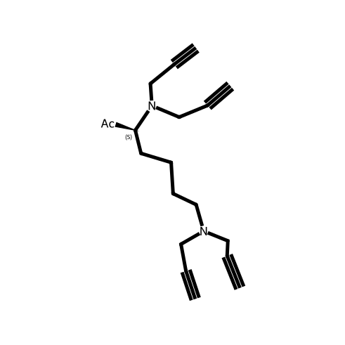 C#CCN(CC#C)CCCC[C@@H](C(C)=O)N(CC#C)CC#C